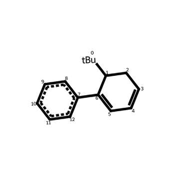 CC(C)(C)C1CC=CC=C1c1ccccc1